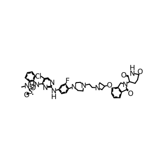 CN(c1ccccc1Nc1nc(Nc2ccc(N3CCN(CCN4CC(Oc5cccc6c5CN(C5CCC(=O)NC5=O)C6=O)C4)CC3)c(F)c2)ncc1Cl)S(C)(=O)=O